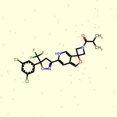 CC(C)C(=O)N1CC2(C1)OC=C1C=C(C3=NOC(c4cc(Cl)cc(Cl)c4)(C(F)(F)F)C3)NC=C12